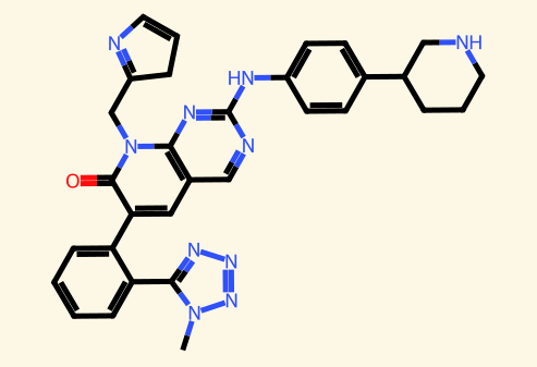 Cn1nnnc1-c1ccccc1-c1cc2cnc(Nc3ccc(C4CCCNC4)cc3)nc2n(CC2=NC=CC2)c1=O